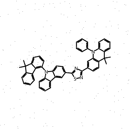 CC1(C)c2ccccc2N(c2ccccc2)c2cc(-c3nsc(-c4ccc5c(c4)c4ccccc4n5-c4cccc5c4-c4ccccc4C5(C)C)n3)ccc21